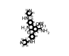 NC(=O)c1cc(-c2ccc(Nc3ccncc3)cc2)c(C(N)=O)c(-c2ccc(Nc3ccncc3)cc2)c1OC(F)(F)F